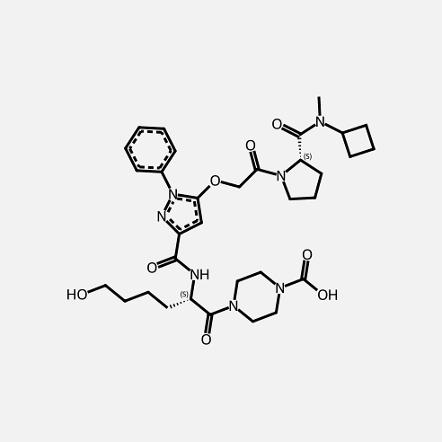 CN(C(=O)[C@@H]1CCCN1C(=O)COc1cc(C(=O)N[C@@H](CCCCO)C(=O)N2CCN(C(=O)O)CC2)nn1-c1ccccc1)C1CCC1